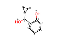 Oc1ccccc1C(O)C1CC1